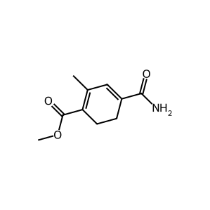 COC(=O)C1=C(C)C=C(C(N)=O)CC1